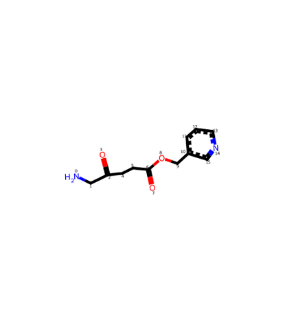 NCC(=O)CCC(=O)OCc1cccnc1